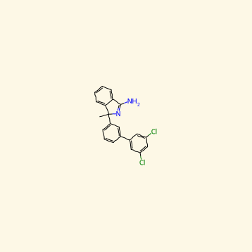 CC1(c2cccc(-c3cc(Cl)cc(Cl)c3)c2)N=C(N)c2ccccc21